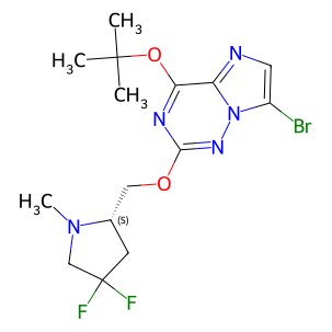 CN1CC(F)(F)C[C@H]1COc1nc(OC(C)(C)C)c2ncc(Br)n2n1